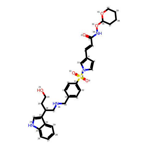 O=C(C=Cc1ccn(S(=O)(=O)c2ccc(CNCC(CCO)c3c[nH]c4ccccc34)cc2)c1)NOC1CCCCO1